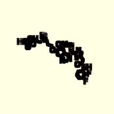 CCN(CCCOc1cc2ncnc(Nc3ncc(CC(=O)Nc4cccc(F)c4F)s3)c2cc1OC)CCOP(=O)(O)O